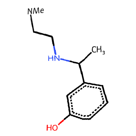 CNCCNC(C)c1cccc(O)c1